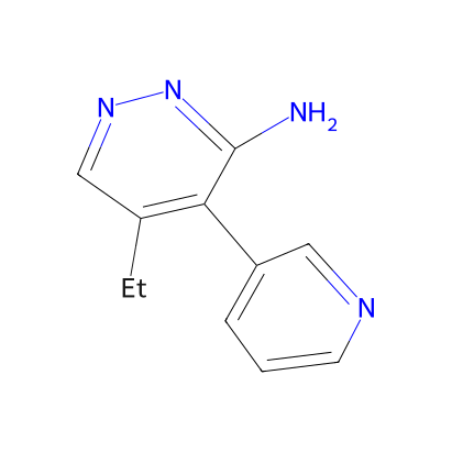 CCc1cnnc(N)c1-c1cccnc1